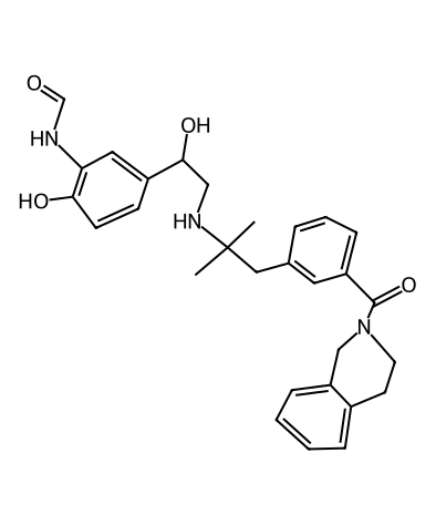 CC(C)(Cc1cccc(C(=O)N2CCc3ccccc3C2)c1)NCC(O)c1ccc(O)c(NC=O)c1